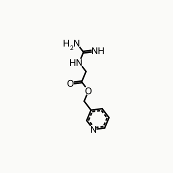 N=C(N)NCC(=O)OCc1cccnc1